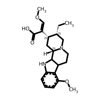 CC[C@@H]1CN2CCC3c4c(cccc4OC)NC3[C@@H]2C[C@@H]1C(=COC)C(=O)O